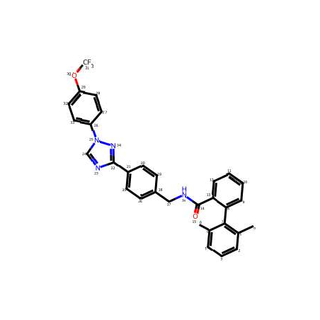 Cc1cccc(C)c1-c1ccccc1C(=O)NCc1ccc(-c2ncn(-c3ccc(OC(F)(F)F)cc3)n2)cc1